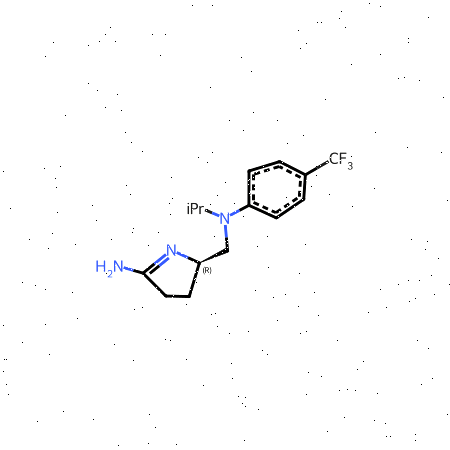 CC(C)N(C[C@H]1CCC(N)=N1)c1ccc(C(F)(F)F)cc1